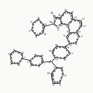 c1ccc(-c2ccc(N(c3ccccc3)c3ccc(-c4ccc5ccc6ccc7nc(-c8ccccc8)oc7c6c5c4)cc3)cc2)cc1